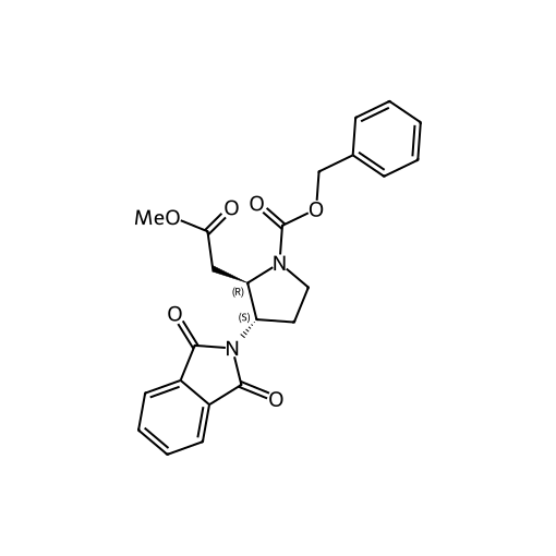 COC(=O)C[C@@H]1[C@@H](N2C(=O)c3ccccc3C2=O)CCN1C(=O)OCc1ccccc1